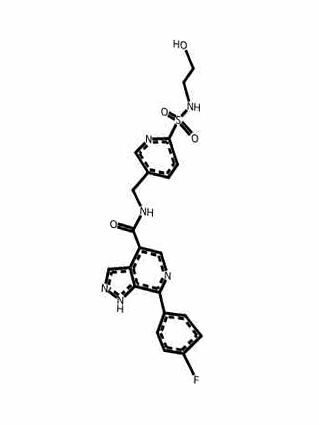 O=C(NCc1ccc(S(=O)(=O)NCCO)nc1)c1cnc(-c2ccc(F)cc2)c2[nH]ncc12